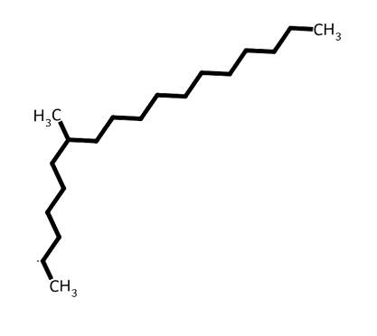 C[CH]CCCCC(C)CCCCCCCCCCC